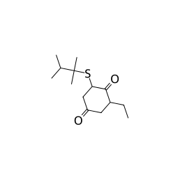 CCC1CC(=O)CC(SC(C)(C)C(C)C)C1=O